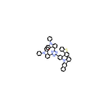 c1ccc(-n2c3ccccc3c3c(-c4nc(-c5ccc(-n6c7ccccc7c7cc8ccccc8cc76)c(-c6cccc7sc8ccccc8c67)c5)nc(-c5cccc6c5c5ccccc5n6-c5ccccc5)n4)cccc32)cc1